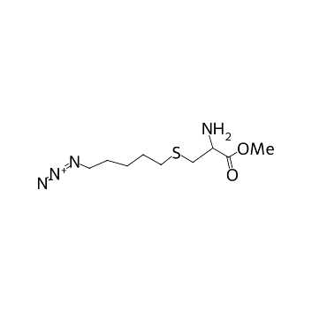 COC(=O)C(N)CSCCCCCN=[N+]=[N-]